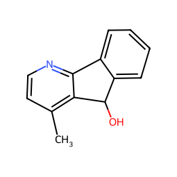 Cc1ccnc2c1C(O)c1ccccc1-2